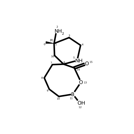 C[C@@]1(N)CCNC2(CCCCB(O)OC2=O)C1